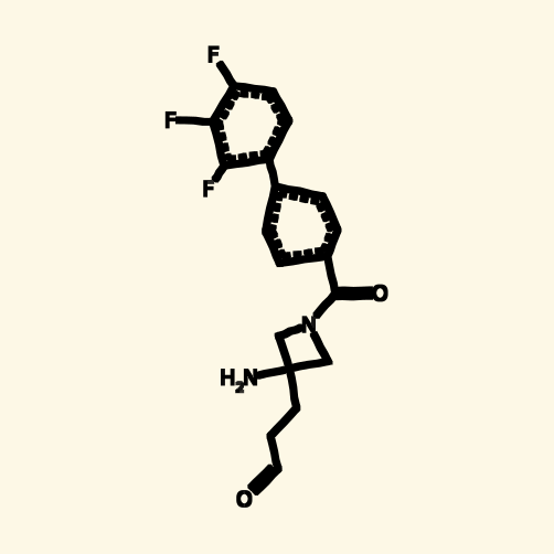 NC1(CCC=O)CN(C(=O)c2ccc(-c3ccc(F)c(F)c3F)cc2)C1